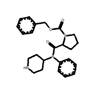 O=C(OCc1ccccc1)N1CCCC1C(=O)N(c1ccccc1)C1CCNCC1